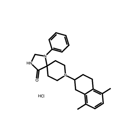 Cc1ccc(C)c2c1CCC(N1CCC3(CC1)C(=O)NCN3c1ccccc1)C2.Cl